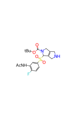 CC(=O)Nc1cc(S(=O)(=O)C2C3=C(CNC3)CN2C(=O)OC(C)(C)C)ccc1F